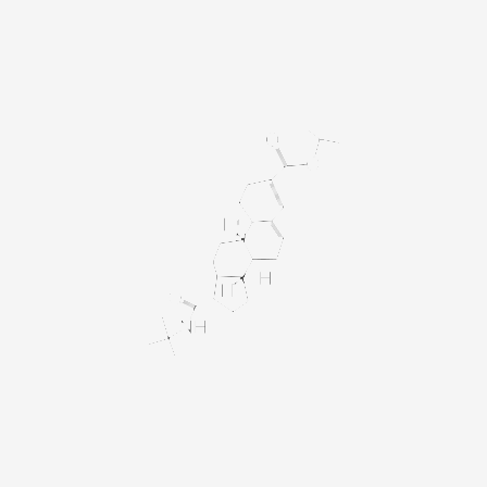 CC(C)OC(=O)C1=CC2=CC[C@H]3[C@@H]4CC[C@H](C(=O)NC(C)(C)C)[C@@]4(C)CC[C@@H]3[C@@]2(C)CC1